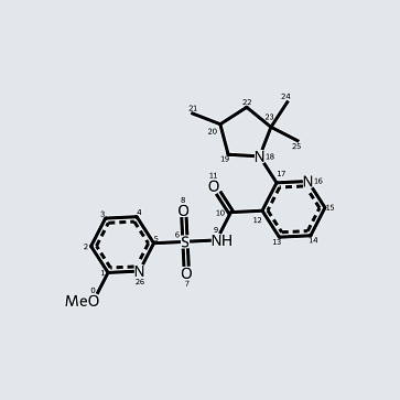 COc1cccc(S(=O)(=O)NC(=O)c2cccnc2N2CC(C)CC2(C)C)n1